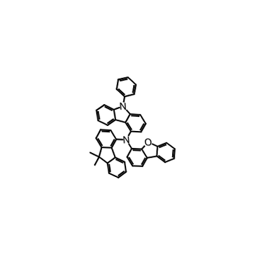 CC1(C)c2ccccc2-c2c(N(c3cccc4c3oc3ccccc34)c3cccc4c3c3ccccc3n4-c3ccccc3)cccc21